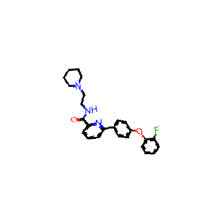 O=C(NCCN1CCCCC1)c1cccc(-c2ccc(Oc3ccccc3F)cc2)n1